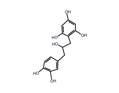 Oc1cc(O)c(CC(O)Cc2ccc(O)c(O)c2)c(O)c1